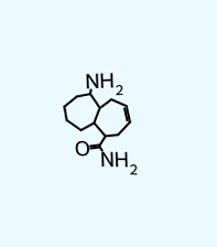 NC(=O)C1CC=CCC2C(N)CCCCC12